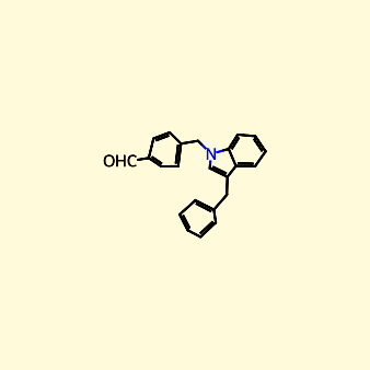 O=Cc1ccc(Cn2cc(Cc3ccccc3)c3ccccc32)cc1